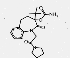 CC(C)(C)C1(OC(N)=O)CCc2ccccc2N(CC(=O)N2CCCC2)C1=O